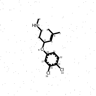 CNCCC(C=C(C)C)Oc1ccc(Cl)c(Cl)c1